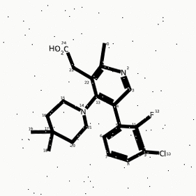 Cc1ncc(-c2cccc(Cl)c2F)c(N2CCC(C)(C)CC2)c1CC(=O)O